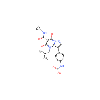 CC(C)Cn1c(=O)c(C(=O)NC2CC2)c(O)n2ncc(-c3ccc(NC(=O)O)cc3)c12